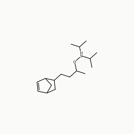 CC(CCC1CC2C=CC1C2)O[SiH](C(C)C)C(C)C